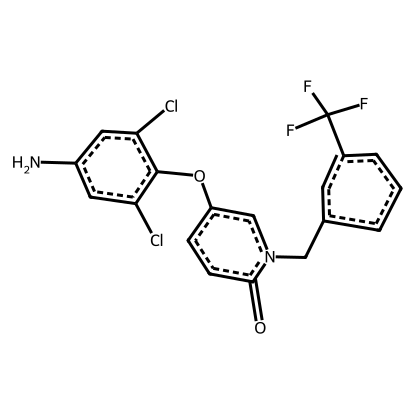 Nc1cc(Cl)c(Oc2ccc(=O)n(Cc3cccc(C(F)(F)F)c3)c2)c(Cl)c1